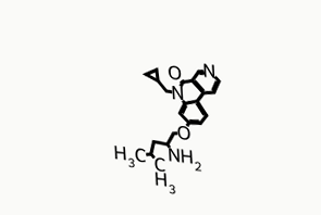 CC(C)CC(N)COc1ccc2c3ccncc3c(=O)n(CC3CC3)c2c1